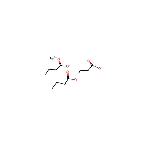 CCCC(=O)[O-].CCCC(=O)[O-].CCCC(=O)[O-].[As+3]